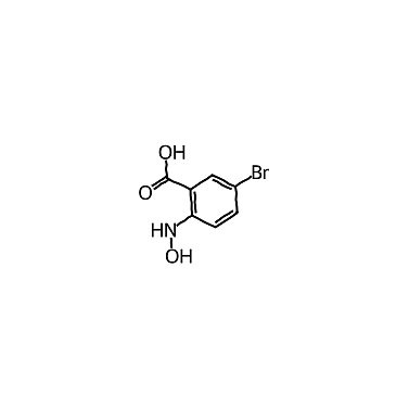 O=C(O)c1cc(Br)ccc1NO